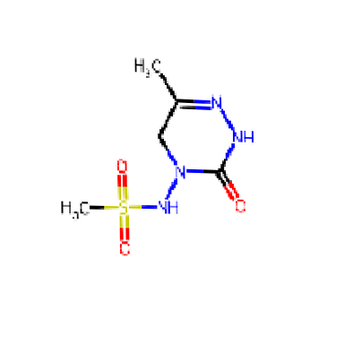 CC1=NNC(=O)N(NS(C)(=O)=O)C1